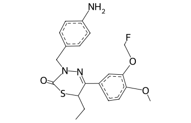 CCC1SC(=O)N(Cc2ccc(N)cc2)N=C1c1ccc(OC)c(OCF)c1